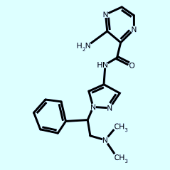 CN(C)CC(c1ccccc1)n1cc(NC(=O)c2nccnc2N)cn1